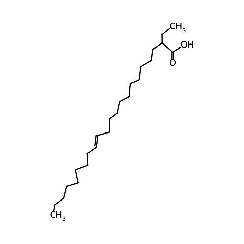 CCCCCCCCC=CCCCCCCCCCCC(CC)C(=O)O